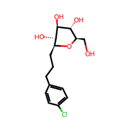 OC[C@H]1O[C@@H](CCCc2ccc(Cl)cc2)[C@H](O)[C@@H](O)[C@@H]1O